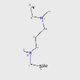 CSCN(C)CCCN(C)CC(C)C